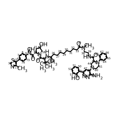 Cc1ncsc1-c1ccc(N(C)C(=O)[C@@H]2C[C@@H](O)CN2C(=O)[C@@H](NC(=O)CCCCCCCCC(=O)N(C)CCNC(=O)C2CN(c3cc(-c4ccccc4O)nnc3N)CCN2c2ccccc2)C(C)(C)C)cc1